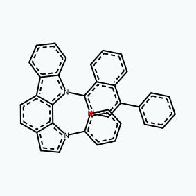 c1ccc(-c2cnc(-n3c4ccccc4c4ccc5ccn(-c6ccccc6)c5c43)c3ccccc23)cc1